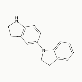 [c]1ccc2c(c1)N(c1ccc3c(c1)CCN3)CC2